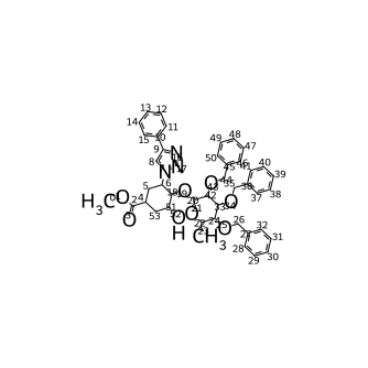 COC(=O)C1CC(n2cc(-c3ccccc3)nn2)C(O[C@@H]2OC(C)[C@@H](OCc3ccccc3)C(OCc3ccccc3)C2OCc2ccccc2)[C@H](O)C1